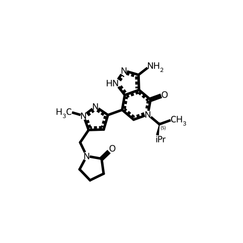 CC(C)[C@H](C)n1cc(-c2cc(CN3CCCC3=O)n(C)n2)c2[nH]nc(N)c2c1=O